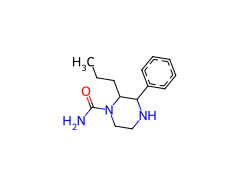 CCCC1C(c2ccccc2)NCCN1C(N)=O